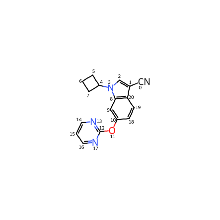 N#Cc1cn(C2CCC2)c2cc(Oc3ncccn3)ccc12